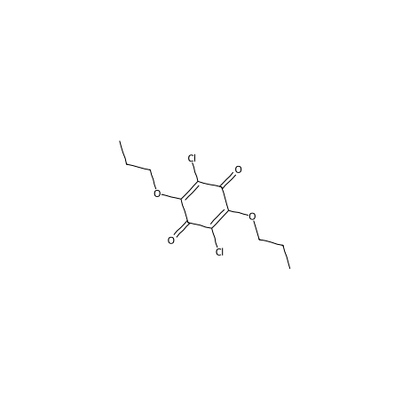 CCCOC1=C(Cl)C(=O)C(OCCC)=C(Cl)C1=O